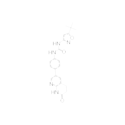 CC(C)(C)c1cc(NC(=O)Nc2ccc(-c3cnc4c(c3)CCC(=O)N4)cc2)no1